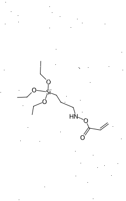 C=CC(=O)ONCCC[Si](OCC)(OCC)OCC